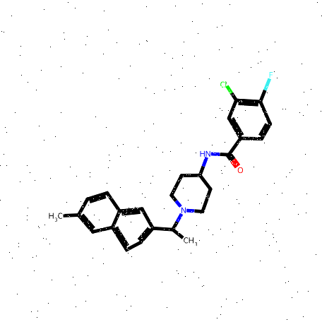 Cc1ccc2cc(C(C)N3CCC(NC(=O)c4ccc(F)c(Cl)c4)CC3)ccc2c1